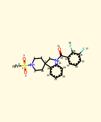 CCCS(=O)(=O)N1CCC(CNC(=O)c2cccc(F)c2F)(c2ccccc2)CC1